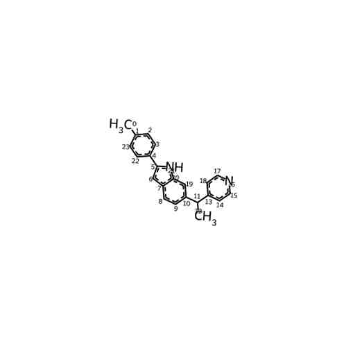 Cc1ccc(-c2cc3ccc(C(C)c4ccncc4)cc3[nH]2)cc1